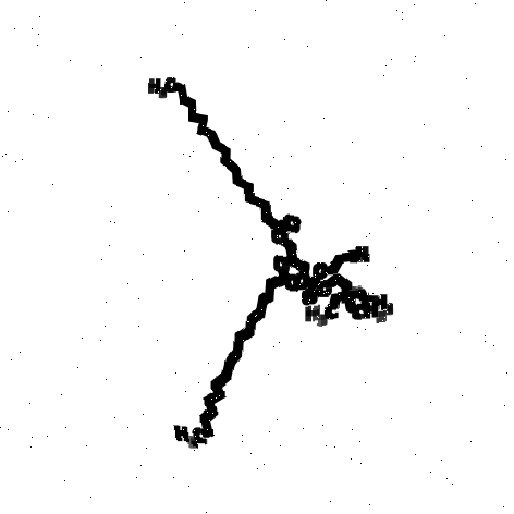 CCCCCCCCCCCCCCCCCC(=O)OCC(COP(=O)(OCCC#N)OCC[N+](CC)(CC)CC)OC(=O)CCCCCCCCCCCCCCCCC